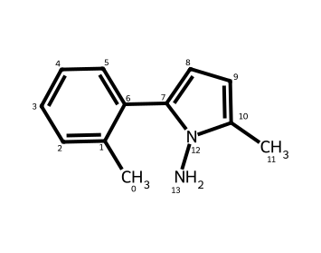 Cc1ccccc1-c1ccc(C)n1N